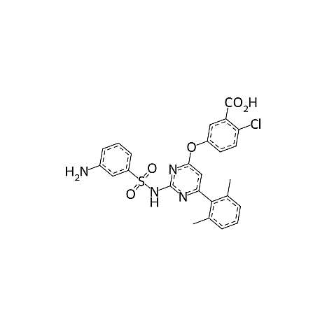 Cc1cccc(C)c1-c1cc(Oc2ccc(Cl)c(C(=O)O)c2)nc(NS(=O)(=O)c2cccc(N)c2)n1